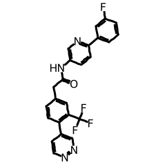 O=C(Cc1ccc(-c2ccnnc2)c(C(F)(F)F)c1)Nc1ccc(-c2cccc(F)c2)nc1